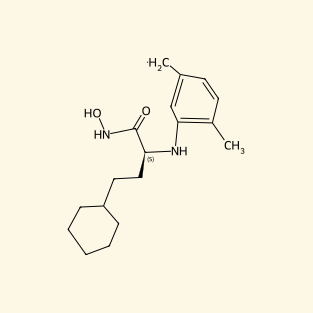 [CH2]c1ccc(C)c(N[C@@H](CCC2CCCCC2)C(=O)NO)c1